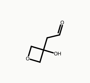 O=CCC1(O)COC1